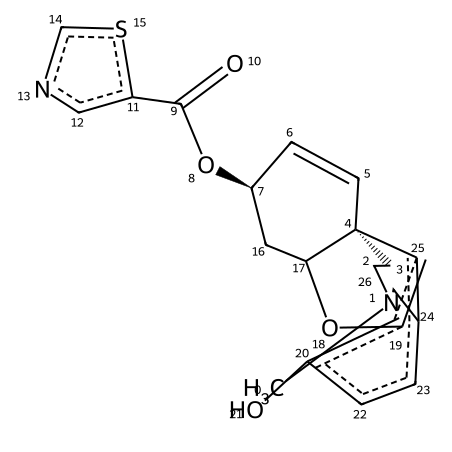 CN1CC[C@@]23C=C[C@H](OC(=O)c4cncs4)CC2Oc2c(O)ccc(c23)C1